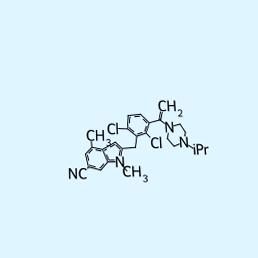 C=C(c1ccc(Cl)c(Cc2cc3c(C)cc(C#N)cc3n2C)c1Cl)N1CCN(C(C)C)CC1